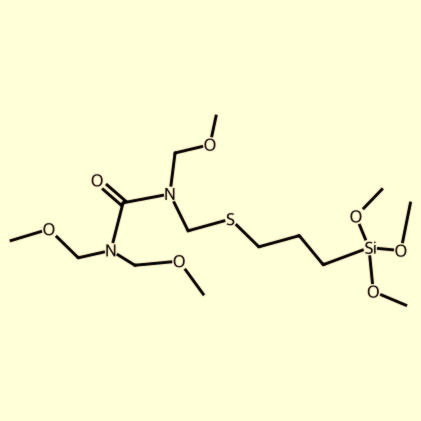 COCN(COC)C(=O)N(COC)CSCCC[Si](OC)(OC)OC